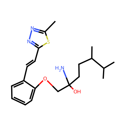 Cc1nnc(C=Cc2ccccc2OCC(N)(O)CCC(C)C(C)C)s1